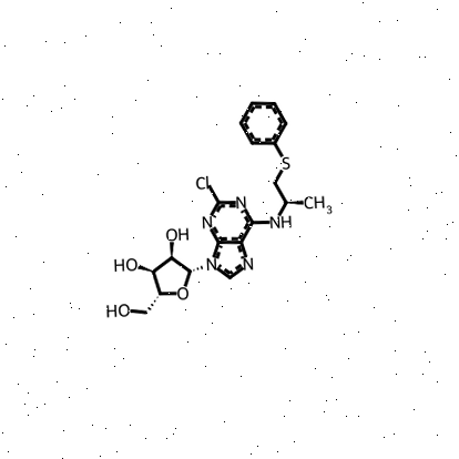 C[C@H](CSc1ccccc1)Nc1nc(Cl)nc2c1ncn2[C@@H]1O[C@H](CO)[C@@H](O)[C@H]1O